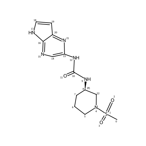 CS(=O)(=O)N1CCC[C@@H](NC(=O)Nc2cnc3[nH]ccc3n2)C1